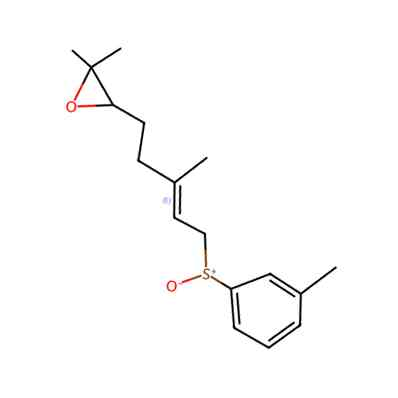 C/C(=C\C[S+]([O-])c1cccc(C)c1)CCC1OC1(C)C